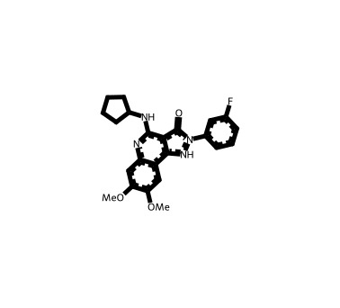 COc1cc2nc(NC3CCCC3)c3c(=O)n(-c4cccc(F)c4)[nH]c3c2cc1OC